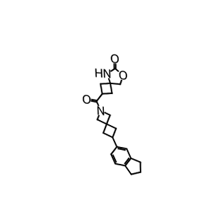 O=C1NC2(CO1)CC(C(=O)N1CC3(CC(c4ccc5c(c4)CCC5)C3)C1)C2